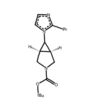 CC(C)c1nccn1C1[C@H]2CN(C(=O)OC(C)(C)C)C[C@@H]12